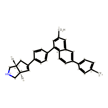 O=C(O)c1cc(-c2ccc(C3=C[C@H]4CNC[C@@H]4C3)cc2)c2ccc(-c3ccc(C(F)(F)F)cc3)cc2c1